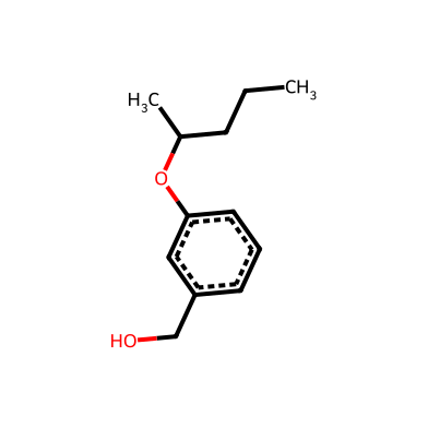 CCCC(C)Oc1cccc(CO)c1